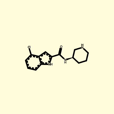 O=C(N[C@@H]1CCCNC1)c1cc2c(Cl)cccc2[nH]1